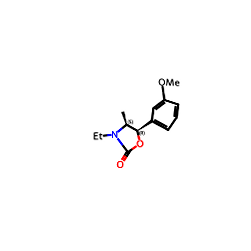 CCN1C(=O)O[C@H](c2cccc(OC)c2)[C@@H]1C